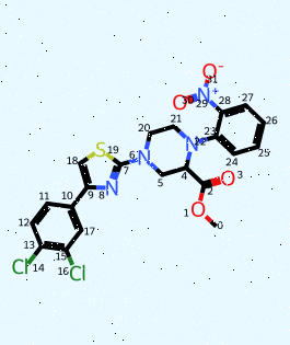 COC(=O)C1CN(c2nc(-c3ccc(Cl)c(Cl)c3)cs2)CCN1c1ccccc1[N+](=O)[O-]